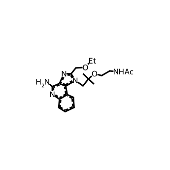 CCOCc1nc2c(N)nc3ccccc3c2n1CC(C)(C)OCCNC(C)=O